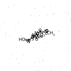 CC1(C)CCCN1CCNC(=O)c1cnc2c(c1)[nH]c(=O)c1c2nn2cc(-c3cnn(CCO)c3)sc12